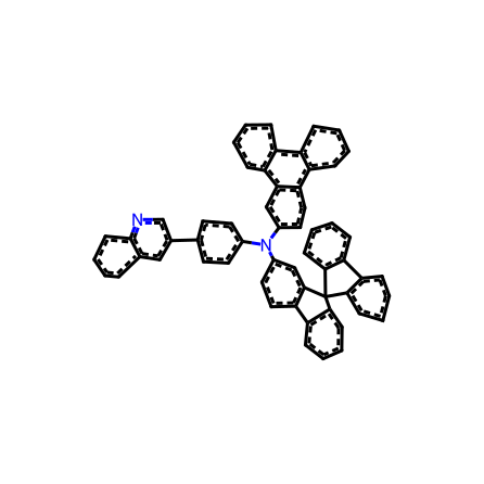 c1ccc2c(c1)-c1ccccc1C21c2ccccc2-c2ccc(N(c3ccc(-c4cnc5ccccc5c4)cc3)c3ccc4c5ccccc5c5ccccc5c4c3)cc21